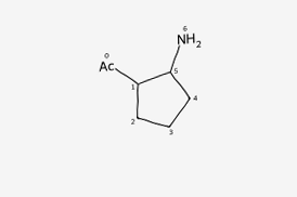 CC(=O)C1CCCC1N